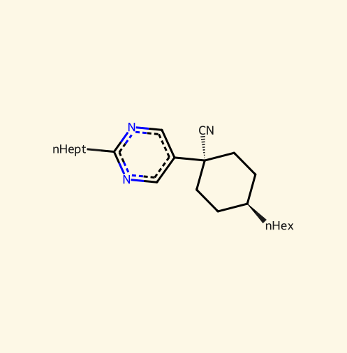 CCCCCCCc1ncc([C@]2(C#N)CC[C@H](CCCCCC)CC2)cn1